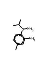 Cc1ccc(N(N)C(C)C)c(N)c1